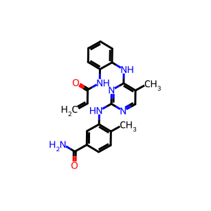 C=CC(=O)Nc1ccccc1Nc1nc(Nc2cc(C(N)=O)ccc2C)ncc1C